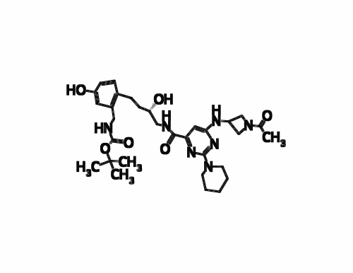 CC(=O)N1CC(Nc2cc(C(=O)NC[C@@H](O)CCc3ccc(O)cc3CNC(=O)OC(C)(C)C)nc(N3CCCCC3)n2)C1